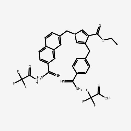 CCOC(=O)c1cn(Cc2ccc3ccc(C(=N)N)cc3c2)cc1Cc1ccc(C(=N)N)cc1.O=C(O)C(F)(F)F.O=C(O)C(F)(F)F